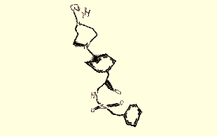 O=C(NS(=O)(=O)Cc1ccccc1)c1ccc(N2CCN(C(=O)O)CC2)cc1